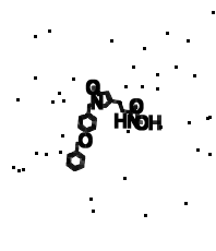 O=C(CCC1=CC(=O)N(Cc2ccc(OCc3ccccc3)cc2)C1)NO